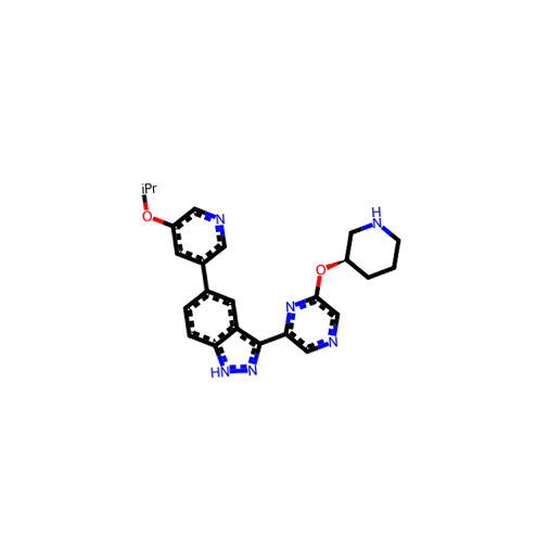 CC(C)Oc1cncc(-c2ccc3[nH]nc(-c4cncc(O[C@@H]5CCCNC5)n4)c3c2)c1